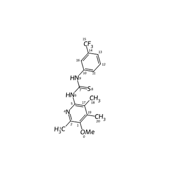 COc1c(C)nc(NC(=S)Nc2cccc(C(F)(F)F)c2)c(C)c1C